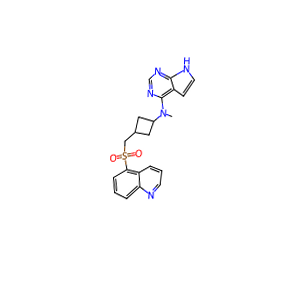 CN(c1ncnc2[nH]ccc12)C1CC(CS(=O)(=O)c2cccc3ncccc23)C1